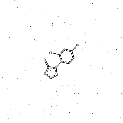 O=c1sccn1-c1ccc(Br)cc1Cl